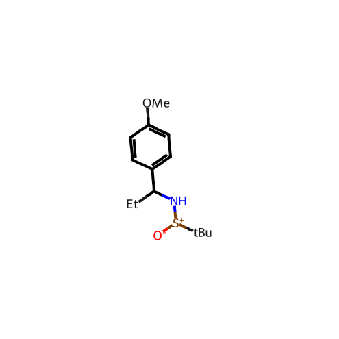 CCC(N[S+]([O-])C(C)(C)C)c1ccc(OC)cc1